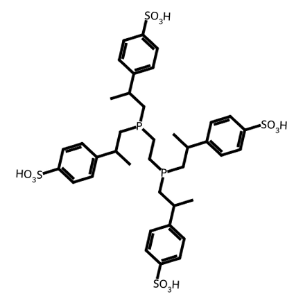 CC(CP(CCP(CC(C)c1ccc(S(=O)(=O)O)cc1)CC(C)c1ccc(S(=O)(=O)O)cc1)CC(C)c1ccc(S(=O)(=O)O)cc1)c1ccc(S(=O)(=O)O)cc1